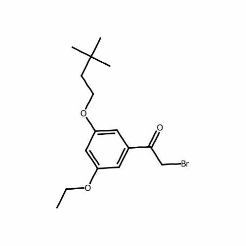 CCOc1cc(OCCC(C)(C)C)cc(C(=O)CBr)c1